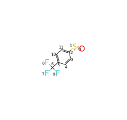 O=[S]c1ccc(C(F)(F)F)cc1